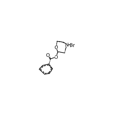 O=C(OC1CN(Br)CCO1)c1ccccc1